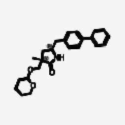 C[C@@]1(COC2CCCCO2)C[C@@H](Cc2ccc(-c3ccccc3)cc2)NC1=O